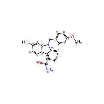 COc1ccc(Cn2c3cc(C)c[c]c3c3c(C(N)=O)cccc32)cc1